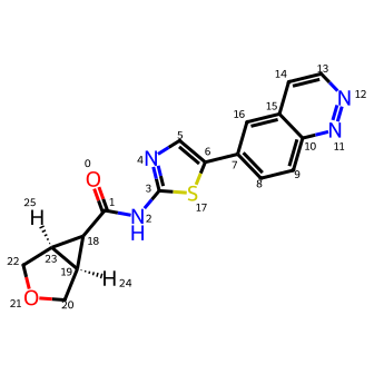 O=C(Nc1ncc(-c2ccc3nnccc3c2)s1)C1[C@H]2COC[C@@H]12